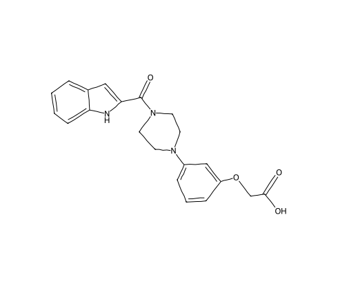 O=C(O)COc1cccc(N2CCN(C(=O)c3cc4ccccc4[nH]3)CC2)c1